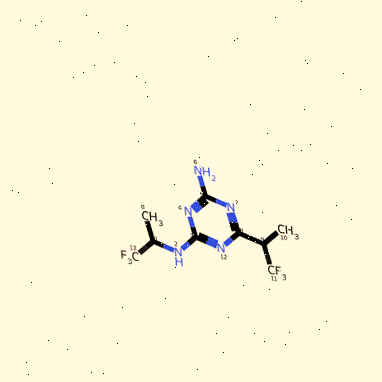 CC(Nc1nc(N)nc(C(C)C(F)(F)F)n1)C(F)(F)F